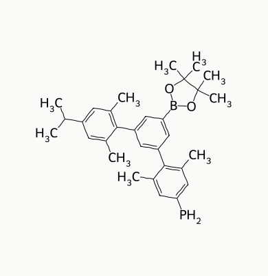 Cc1cc(P)cc(C)c1-c1cc(B2OC(C)(C)C(C)(C)O2)cc(-c2c(C)cc(C(C)C)cc2C)c1